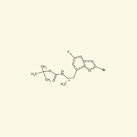 C[C@@H](Cc1cc(F)cc2cc(Br)oc12)NC(=O)OC(C)(C)C